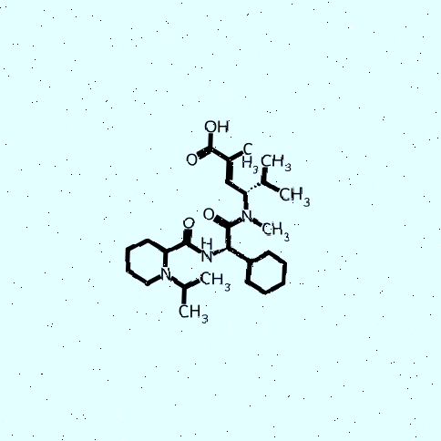 C/C(=C\[C@H](C(C)C)N(C)C(=O)[C@H](NC(=O)C1CCCCN1C(C)C)C1CCCCC1)C(=O)O